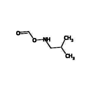 CC(C)CNOC=O